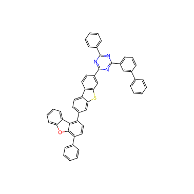 c1ccc(-c2cccc(-c3nc(-c4ccccc4)nc(-c4ccc5c(c4)sc4cc(-c6ccc(-c7ccccc7)c7oc8ccccc8c67)ccc45)n3)c2)cc1